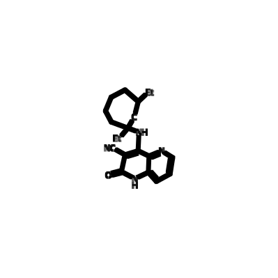 CCC1CCCCC(CC)(Nc2c(C#N)c(=O)[nH]c3cccnc23)C1